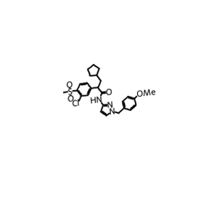 COc1ccc(Cn2ccc(NC(=O)C(CC3CCCC3)c3ccc(S(C)(=O)=O)c(Cl)c3)n2)cc1